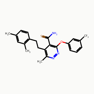 Cc1ccc(CCc2c(C)nnc(Oc3cccc(C(F)(F)F)c3)c2C(N)=S)c(C)c1